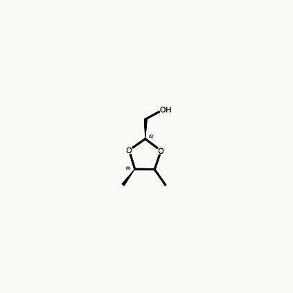 CC1O[C@H](CO)O[C@@H]1C